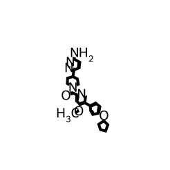 COc1cc(C(=O)N2CCC(c3ccc(N)nn3)CC2)ncc1-c1ccc(OC2CCCC2)cc1